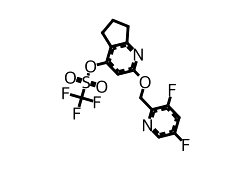 O=S(=O)(Oc1cc(OCc2ncc(F)cc2F)nc2c1CCC2)C(F)(F)F